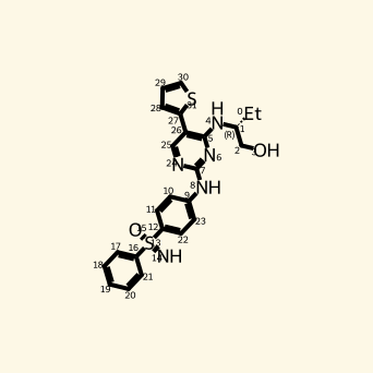 CC[C@H](CO)Nc1nc(Nc2ccc(S(=N)(=O)c3ccccc3)cc2)ncc1-c1cccs1